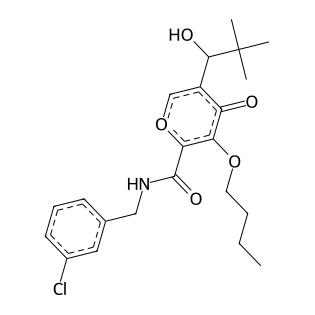 CCCCOc1c(C(=O)NCc2cccc(Cl)c2)occ(C(O)C(C)(C)C)c1=O